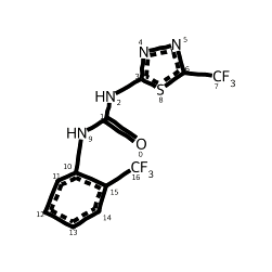 O=C(Nc1nnc(C(F)(F)F)s1)Nc1ccccc1C(F)(F)F